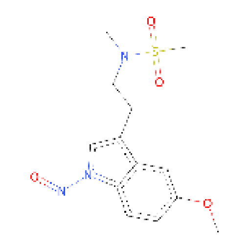 COc1ccc2c(c1)c(CCN(C)S(C)(=O)=O)cn2N=O